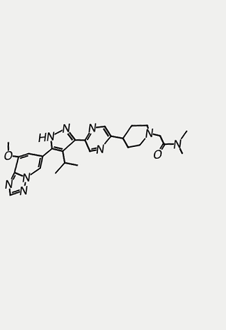 COc1cc(-c2[nH]nc(-c3cnc(C4CCN(CC(=O)N(C)C)CC4)cn3)c2C(C)C)cn2ncnc12